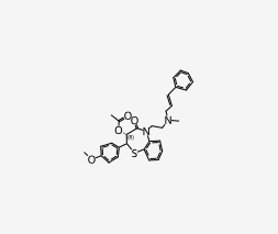 COc1ccc(C2Sc3ccccc3N(CCN(C)CC=Cc3ccccc3)C(=O)[C@H]2OC(C)=O)cc1